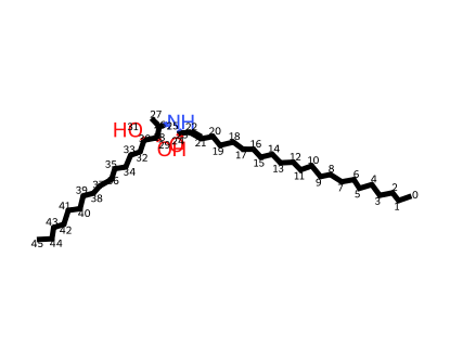 CCCCCCCCCCCCCCCCCCCCCC=CC(=O)NC(C)C(O)C(O)CCCCCCCCCCCCCC